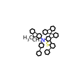 CC1(C)c2ccccc2-c2ccc(N(c3ccc(-c4ccccc4)cc3)c3cc4c(c5c3sc3c(-c6ccccc6)cccc35)-c3ccccc3C43c4ccccc4-c4ccccc43)cc21